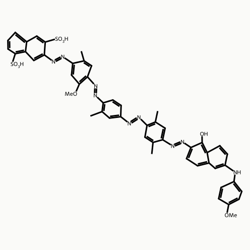 COc1ccc(Nc2ccc3c(O)c(N=Nc4cc(C)c(N=Nc5ccc(N=Nc6cc(C)c(N=Nc7cc8c(S(=O)(=O)O)cccc8cc7S(=O)(=O)O)cc6OC)c(C)c5)cc4C)ccc3c2)cc1